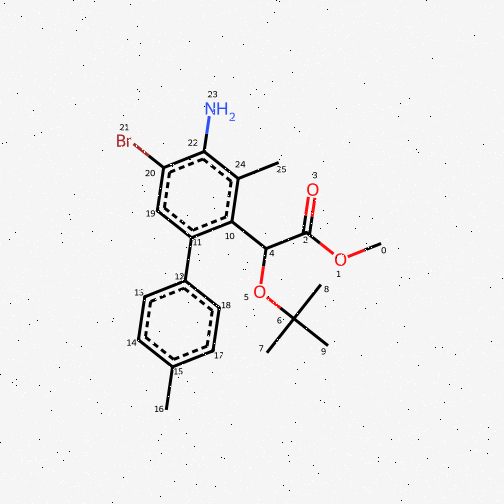 COC(=O)C(OC(C)(C)C)c1c(-c2ccc(C)cc2)cc(Br)c(N)c1C